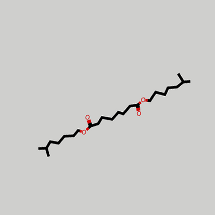 CC(C)CCCCCOC(=O)CCCCCCC(=O)OCCCCCC(C)C